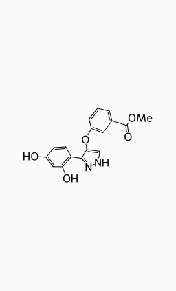 COC(=O)c1cccc(Oc2c[nH]nc2-c2ccc(O)cc2O)c1